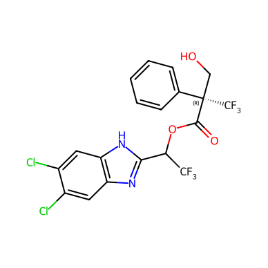 O=C(OC(c1nc2cc(Cl)c(Cl)cc2[nH]1)C(F)(F)F)[C@](CO)(c1ccccc1)C(F)(F)F